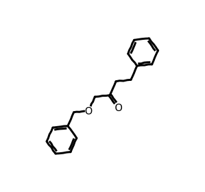 O=C(CCc1ccccc1)COCc1ccccc1